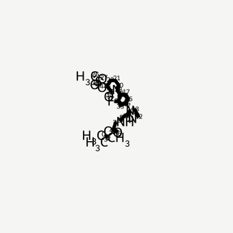 CC(C)(C)OC(=O)CNCc1nccn1-c1ccc(N2CCCC(OS(C)(=O)=O)C2=O)c(F)c1